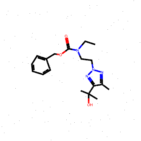 CCN(CCn1nc(C)c(C(C)(C)O)n1)C(=O)OCc1ccccc1